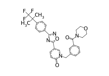 CC(C)(c1ccc(-c2noc(-c3ccc(=O)n(Cc4cccc(C(=O)N5CCOCC5)c4)c3)n2)cc1)C(F)(F)F